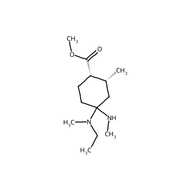 CCN(C)C1(NC)CC[C@H](C(=O)OC)[C@H](C)C1